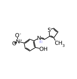 Cc1ccsc1/C=N/c1cc([N+](=O)[O-])ccc1O